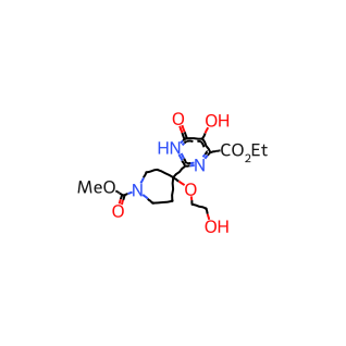 CCOC(=O)c1nc(C2(OCCO)CCN(C(=O)OC)CC2)[nH]c(=O)c1O